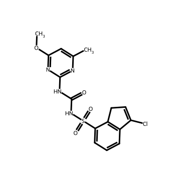 COc1cc(C)nc(NC(=O)NS(=O)(=O)c2cccc3c2CC=C3Cl)n1